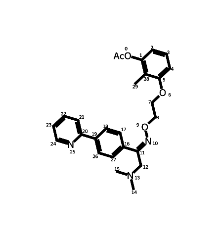 CC(=O)Oc1cccc(OCCON=C(CN(C)C)c2ccc(-c3ccccn3)cc2)c1C